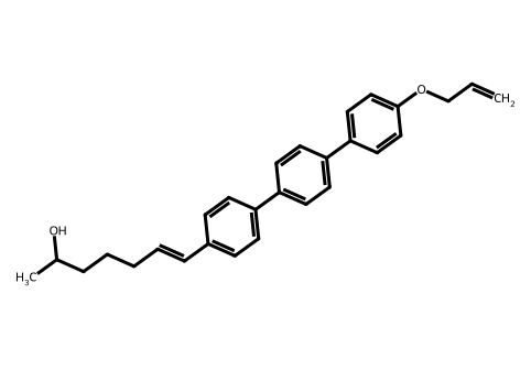 C=CCOc1ccc(-c2ccc(-c3ccc(C=CCCCC(C)O)cc3)cc2)cc1